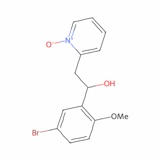 COc1ccc(Br)cc1C(O)Cc1cccc[n+]1[O-]